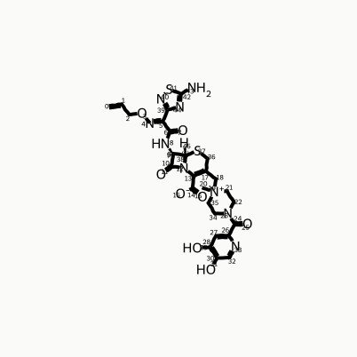 C=CCON=C(C(=O)N[C@@H]1C(=O)N2C(C(=O)[O-])=C(C[N+]3(C)CCN(C(=O)c4cc(O)c(O)cn4)CC3)CS[C@@H]12)c1nsc(N)n1